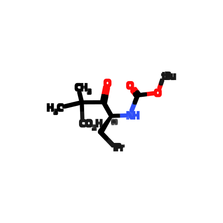 CC(C)C[C@H](NC(=O)OC(C)(C)C)C(=O)C(C)(C)C(=O)O